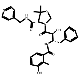 Cc1c(O)cccc1C(=O)N[C@@H](Cc1ccccc1)[C@H](O)C(=O)N1CSC(C)(C)[C@H]1C(=O)NCc1ccncc1